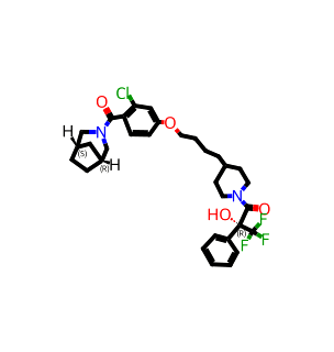 O=C(c1ccc(OCCCCC2CCN(C(=O)[C@](O)(c3ccccc3)C(F)(F)F)CC2)cc1Cl)N1C[C@@H]2CC[C@@H](C2)C1